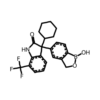 O=C1Nc2c(C(F)(F)F)cccc2C1(c1ccc2c(c1)COB2O)C1CCCCC1